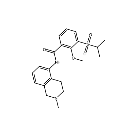 COc1c(C(=O)Nc2cccc3c2CCN(C)C3)cccc1S(=O)(=O)C(C)C